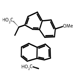 CC(=O)O.COc1ccc2cc([C@H](C)C(=O)O)ccc2c1.c1ccc2ccccc2c1